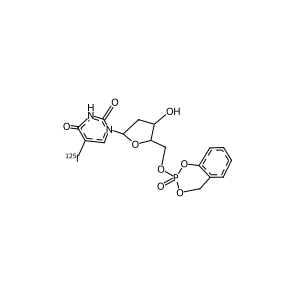 O=c1[nH]c(=O)n(C2CC(O)C(COP3(=O)OCc4ccccc4O3)O2)cc1[125I]